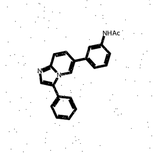 CC(=O)Nc1cccc(-c2ccc3ncc(-c4ccccc4)n3c2)c1